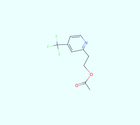 CC(=O)OCCc1cc(C(F)(F)F)ccn1